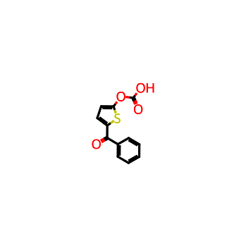 O=C(O)Oc1ccc(C(=O)c2ccccc2)s1